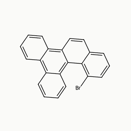 Brc1cccc2ccc3c4ccccc4c4ccccc4c3c12